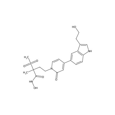 CC(CCn1ccc(-c2ccc3[nH]cc(CCO)c3c2)cc1=O)(C(=O)NO)S(C)(=O)=O